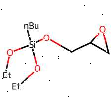 CCCC[Si](OCC)(OCC)OCC1CO1